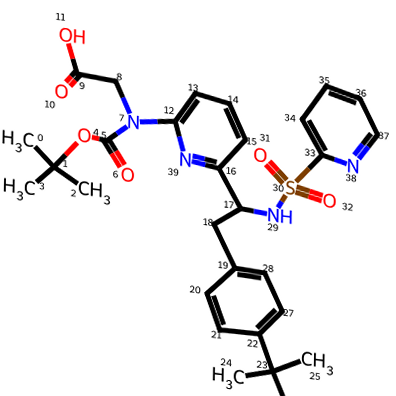 CC(C)(C)OC(=O)N(CC(=O)O)c1cccc(C(Cc2ccc(C(C)(C)C)cc2)NS(=O)(=O)c2ccccn2)n1